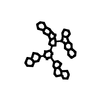 c1ccc2cc(-c3nc(-c4ccc5c(ccc6ccccc65)c4)nc(-c4cc(-n5c6ccccc6c6cc7ccccc7cc65)c5oc6cc7ccccc7cc6c5c4)n3)ccc2c1